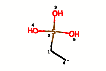 [CH2]CS(O)(O)O